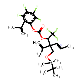 C=C(C)c1c(F)c(F)c(F)c(F)c1OC(=O)OC(C(F)(F)F)C(/C=C/C)(CO[Si](C)(C)C(C)(C)C)C(=C)C